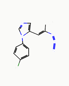 CCOC(=O)/C(=C\c1cncn1-c1ccc(Br)cc1)N=[N+]=[N-]